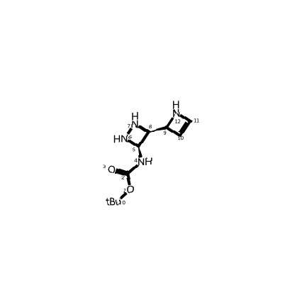 CC(C)(C)OC(=O)N[C@H]1NN[C@H]1C1C=CN1